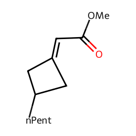 CCCCCC1CC(=CC(=O)OC)C1